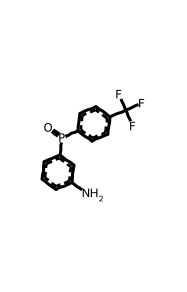 Nc1cccc([P](=O)c2ccc(C(F)(F)F)cc2)c1